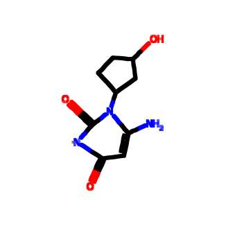 NC1=CC(=O)[N]C(=O)N1C1CCC(O)C1